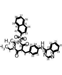 CCN(CC)C(=O)C(Cc1ccc(Nc2ncnc3ccccc23)cc1)C(=O)NS(=O)(=O)c1ccc2ccccc2c1